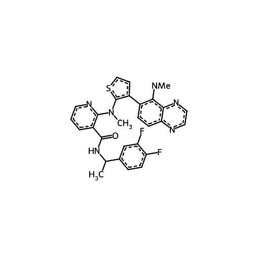 CNc1c(-c2ccsc2N(C)c2ncccc2C(=O)NC(C)c2ccc(F)c(F)c2)ccc2nccnc12